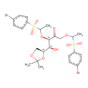 CC(OCC(=O)[C@H](OC(C)S(=O)(=O)c1ccc(Br)cc1)[C@@H](O)[C@@H]1COC(C)(C)O1)S(=O)(=O)c1ccc(Br)cc1